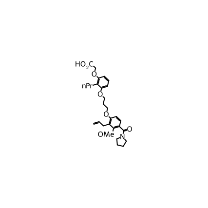 C=CCc1c(OCCCOc2cccc(OCC(=O)O)c2CCC)ccc(C(=O)N2CCCC2)c1OC